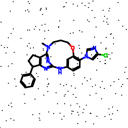 CN1CCCOc2cc(ccc2-n2cnc(Cl)c2)Nc2nc3c(c1n2)CCC3c1ccccc1